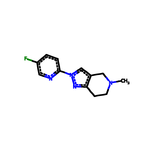 CN1CCc2nn(-c3ccc(F)cn3)cc2C1